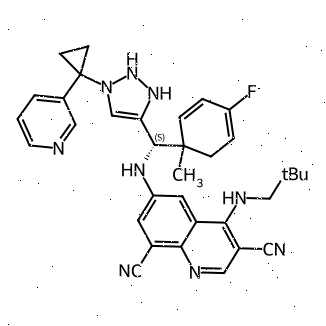 CC(C)(C)CNc1c(C#N)cnc2c(C#N)cc(N[C@H](C3=CN(C4(c5cccnc5)CC4)NN3)C3(C)C=CC(F)=CC3)cc12